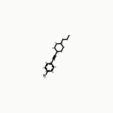 CCCC1CCC(C#Cc2ccc(Br)cc2)CC1